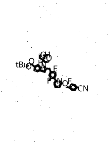 CC(C)(C)OC(=O)c1ccc2cc(Cc3cc(F)c(-c4cccc(OCc5ccc(C#N)cc5F)n4)cc3F)n(C3CO[C@H]4OCC[C@@H]34)c2c1